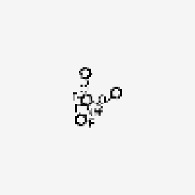 O=C(OCc1ccccc1)c1cc(OCc2ccccc2)c(F)c(F)c1Nc1ccccc1F